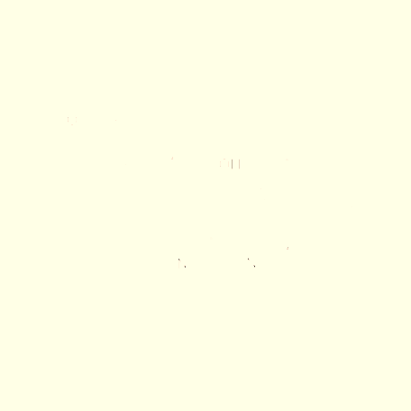 COCCCCC1(O)C2=NCCCN2c2ccccc21